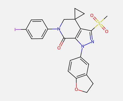 CS(=O)(=O)c1nn(-c2ccc3c(c2)CCO3)c2c1C1(CC1)CN(c1ccc(I)cc1)C2=O